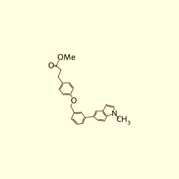 COC(=O)CCc1ccc(OCc2cccc(-c3ccc4c(ccn4C)c3)c2)cc1